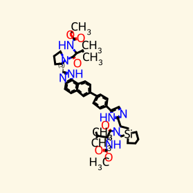 COC(=O)NC(C(=O)N1CCC[C@H]1c1nc2ccc3cc(-c4ccc(-c5cnc(C6C[Si]7(CCCC7)CN6C(=O)[C@@H](NC(=O)OC)C(C)C)[nH]5)cc4)ccc3c2[nH]1)C(C)C